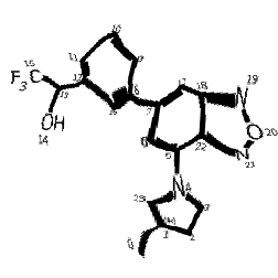 C[C@@H]1CCN(c2cc(-c3cccc(C(O)C(F)(F)F)c3)cc3nonc23)C1